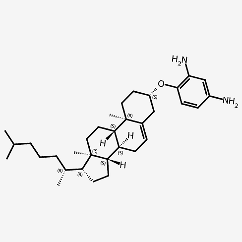 CC(C)CCC[C@@H](C)[C@H]1CC[C@H]2[C@@H]3CC=C4C[C@@H](Oc5ccc(N)cc5N)CC[C@]4(C)[C@H]3CC[C@]12C